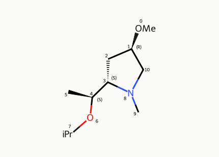 CO[C@@H]1C[C@@H]([C@H](C)OC(C)C)N(C)C1